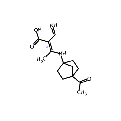 CC(=O)C12CCC(N/C(C)=C(\C=N)C(=O)O)(CC1)C2